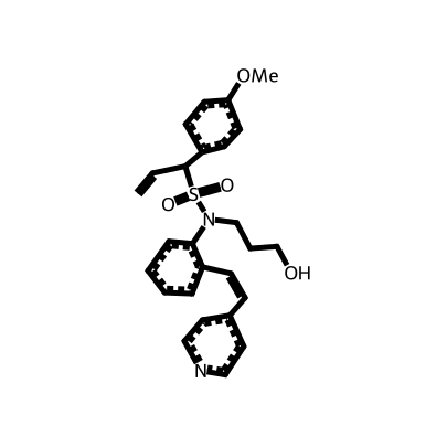 C=CC(c1ccc(OC)cc1)S(=O)(=O)N(CCCO)c1ccccc1C=Cc1ccncc1